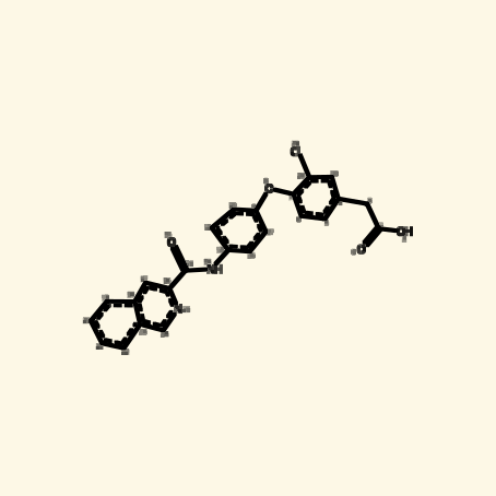 O=C(O)Cc1ccc(Oc2ccc(NC(=O)c3cc4ccccc4cn3)cc2)c(Cl)c1